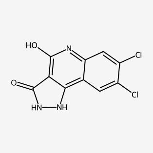 O=c1[nH][nH]c2c1c(O)nc1cc(Cl)c(Cl)cc12